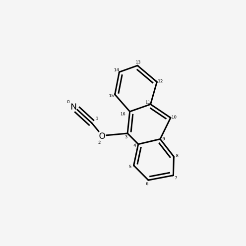 N#COc1c2ccccc2cc2ccccc12